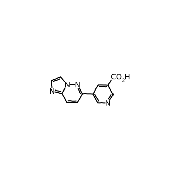 O=C(O)c1cncc(-c2ccc3nccn3n2)c1